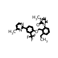 CCc1cccc(-n2nnn(C)c2=O)c1COc1ccc(-c2nccc(C)n2)cc1C(F)(F)F